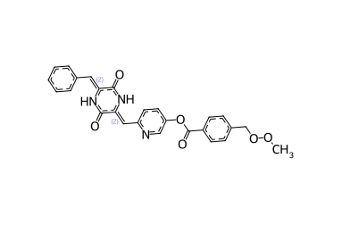 COOCc1ccc(C(=O)Oc2ccc(/C=c3\[nH]c(=O)/c(=C/c4ccccc4)[nH]c3=O)nc2)cc1